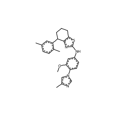 COc1cc(Nc2nc3c(s2)CCCC3c2cc(C)ccc2C)ccc1-n1cnc(C)c1